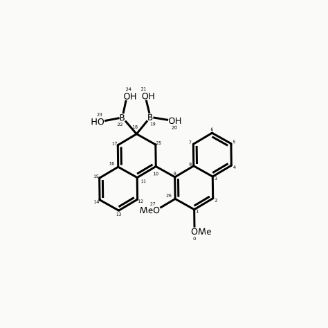 COc1cc2ccccc2c(C2=c3ccccc3=CC(B(O)O)(B(O)O)C2)c1OC